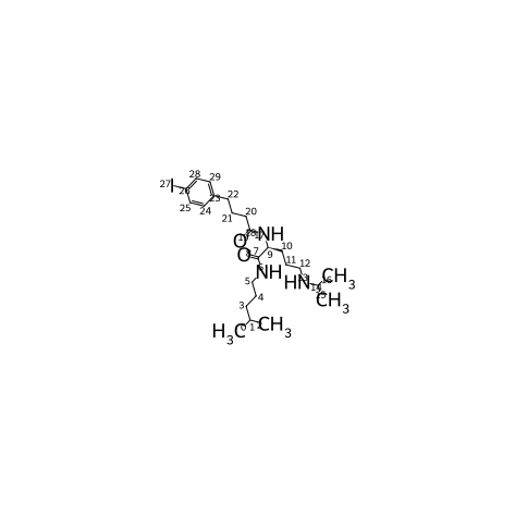 CC(C)CCCNC(=O)[C@H](CCCNC(C)C)NC(=O)CCCc1ccc(I)cc1